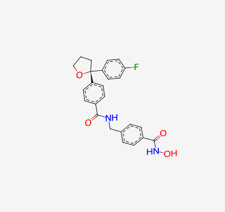 O=C(NO)c1ccc(CNC(=O)c2ccc([C@]3(c4ccc(F)cc4)CCCO3)cc2)cc1